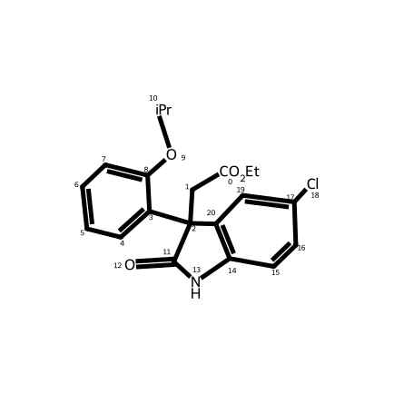 CCOC(=O)CC1(c2ccccc2OC(C)C)C(=O)Nc2ccc(Cl)cc21